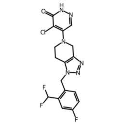 O=c1[nH]ncc(N2CCc3c(nnn3Cc3ccc(F)cc3C(F)F)C2)c1Cl